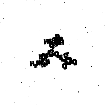 COc1cc(OC)c(CSCO[C@H]2C[C@H](n3cnc4c(N)ncnc43)C[C@@H]2COP(=O)(O)OP(=O)(O)OC)c(OC)c1